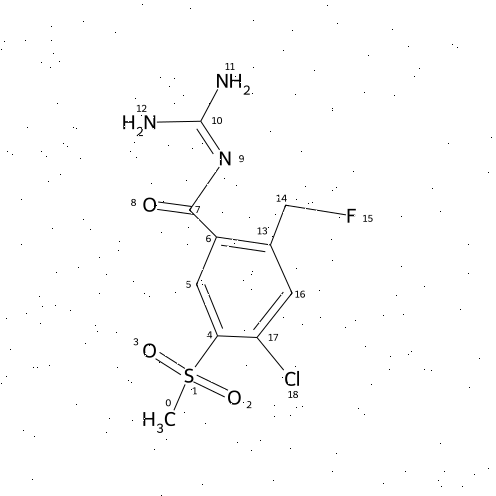 CS(=O)(=O)c1cc(C(=O)N=C(N)N)c(CF)cc1Cl